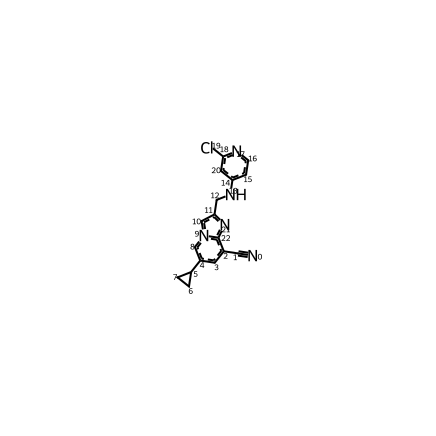 N#Cc1cc(C2CC2)cn2cc(CNc3ccnc(Cl)c3)nc12